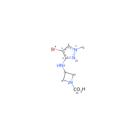 Cn1cc(Br)c(NC2CN(C(=O)O)C2)n1